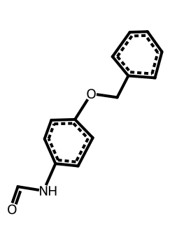 O=CNc1ccc(OCc2ccccc2)cc1